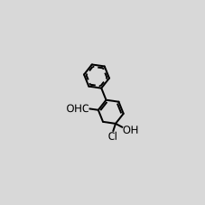 O=CC1=C(c2ccccc2)C=CC(O)(Cl)C1